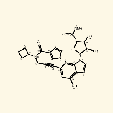 CNC(=O)[C@H]1O[C@@H](n2cnc3c(N)nc(C#CCN(C(=O)c4ccoc4)C4CCC4)nc32)[C@H](O)C1O